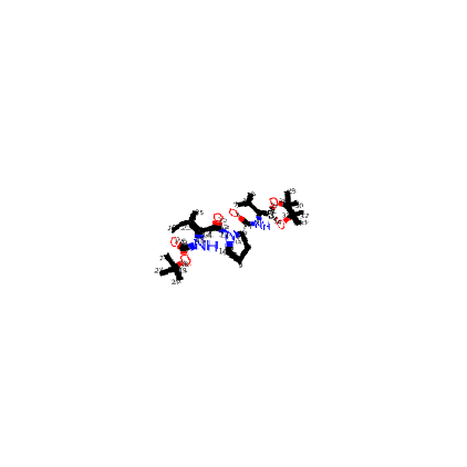 CC(C)C(NC(=O)[C@@H]1CCCN1C(=O)C(NC(=O)OC(C)(C)C)C(C)C)B1OC(C)(C)C(C)(C)O1